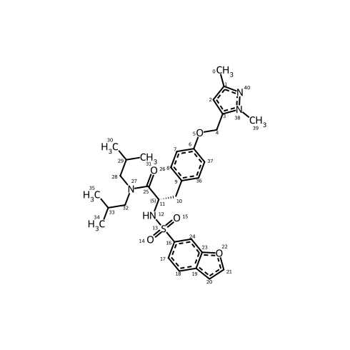 Cc1cc(COc2ccc(C[C@H](NS(=O)(=O)c3ccc4ccoc4c3)C(=O)N(CC(C)C)CC(C)C)cc2)n(C)n1